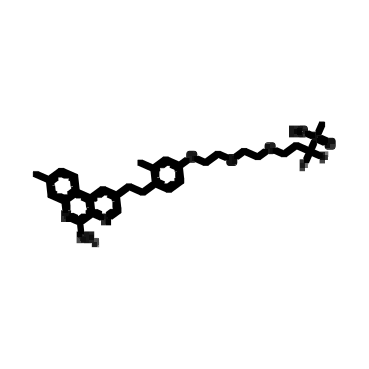 Cc1ccc2c(c1)nc(N)c1ncc(CCc3ccc(OCCOCCOCCC(F)(F)P(C)(=O)O)cc3C)cc12